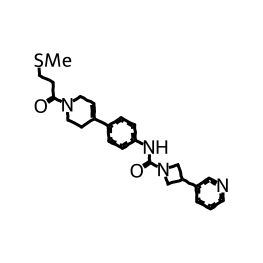 CSCCC(=O)N1CC=C(c2ccc(NC(=O)N3CC(c4cccnc4)C3)cc2)CC1